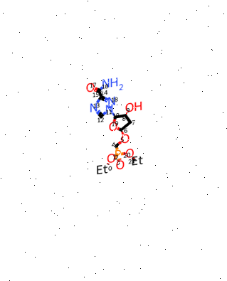 CCOP(=O)(CO[C@@H]1C[C@@H](O)[C@H](n2cnc(C(N)=O)n2)O1)OCC